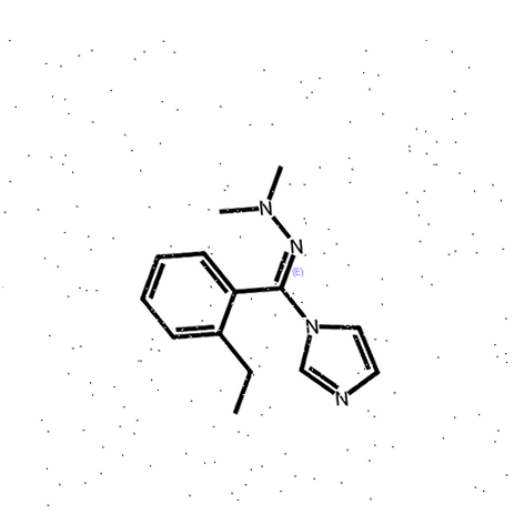 CCc1ccccc1/C(=N\N(C)C)n1ccnc1